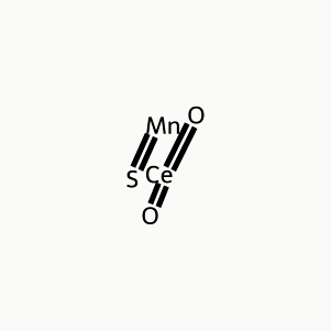 [O]=[Ce]=[O].[S]=[Mn]